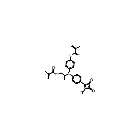 C=C(C)C(=O)OCC(C)N(c1ccc(OC(=O)C(=C)C)cc1)c1ccc(-c2c(Cl)c(=O)c2=O)cc1